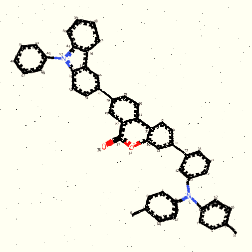 Cc1ccc(N(c2ccc(C)cc2)c2cccc(-c3ccc4c(c3)oc(=O)c3cc(-c5ccc6c(c5)c5ccccc5n6-c5ccccc5)ccc34)c2)cc1